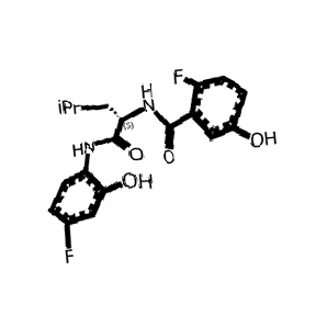 CC(C)C[C@H](NC(=O)c1cc(O)ccc1F)C(=O)Nc1ccc(F)cc1O